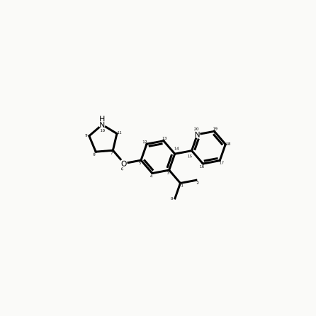 CC(C)c1cc(OC2CCNC2)ccc1-c1ccc[c]n1